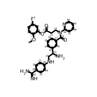 COc1ccc(F)cc1OC(=O)CCN(C(=O)c1cccc(C(N)CNc2ccc(C(=N)N)cc2)c1)c1ccccn1